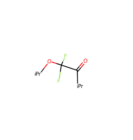 CC(C)OC(F)(F)C(=O)C(C)C